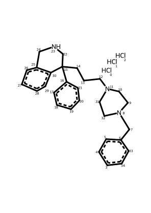 Cl.Cl.Cl.c1ccc(CN2CCN(CCCC3(c4ccccc4)CNCc4ccccc43)CC2)cc1